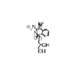 NC1=N[N+]([O-])(OCC(O)CO)c2ccccc2[NH+]1[O-]